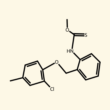 COC(=S)Nc1ccccc1COc1ccc(C)cc1Cl